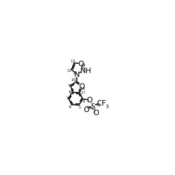 O=S(=O)(Oc1cccc2cc(N3C=CON3)oc12)C(F)(F)F